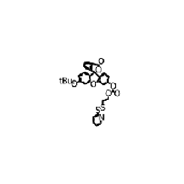 CC(C)(C)Oc1ccc2c(c1)Oc1cc(OC(=O)OCCSSc3ccccn3)ccc1C21OC(=O)c2ccccc21